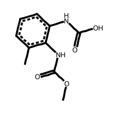 COC(=O)Nc1c(C)cccc1NC(=O)O